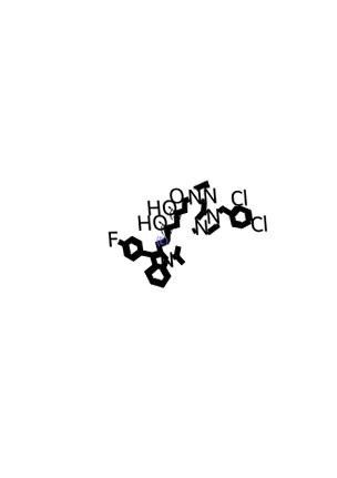 CC(C)n1c(/C=C/[C@H](O)C[C@H](O)CC(=O)N2CCN=C2C2CN(C)CCN2Cc2ccc(Cl)cc2Cl)c(-c2ccc(F)cc2)c2ccccc21